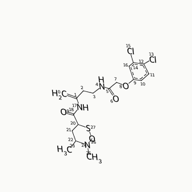 C=C(CCNC(=O)COc1ccc(Cl)c(Cl)c1)NC(=O)C1CC(C)N(C)OS1